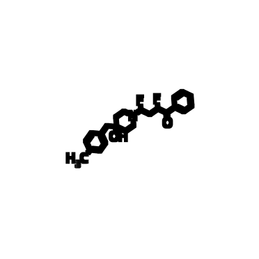 Cc1ccc(CC2(O)CCN(C(F)CC(F)C(=O)c3ccccc3)CC2)cc1